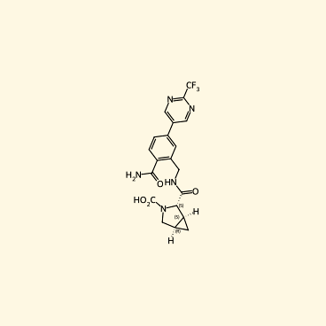 NC(=O)c1ccc(-c2cnc(C(F)(F)F)nc2)cc1CNC(=O)[C@@H]1[C@H]2C[C@H]2CN1C(=O)O